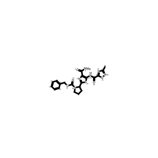 CNC(=O)c1nc(C2CCCN2C(=O)OCc2ccccc2)sc1NC(=O)c1nc(C)no1